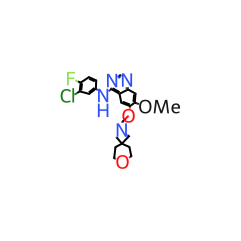 COc1cc2ncnc(Nc3ccc(F)c(Cl)c3)c2cc1OCN1CC2(CCOCC2)C1